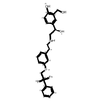 OCc1cc([C@@H](O)CNCCc2cccc(OCC(F)(F)c3ccccc3)c2)ccc1O